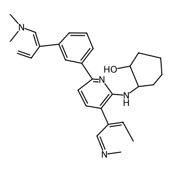 C=C/C(=C\N(C)C)c1cccc(-c2ccc(C(/C=N\C)=C/C)c(NC3CCCCC3O)n2)c1